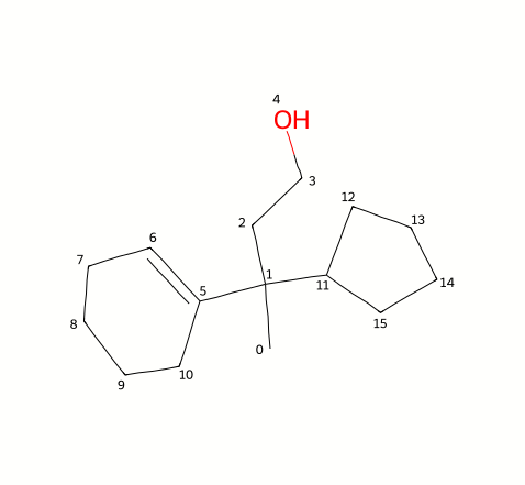 CC(CCO)(C1=CCCCC1)C1CCCC1